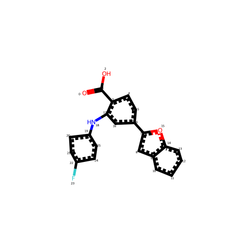 O=C(O)c1ccc(-c2cc3ccccc3o2)cc1Nc1ccc(F)cc1